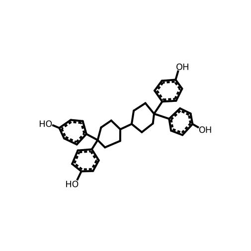 Oc1ccc(C2(c3ccc(O)cc3)CCC(C3CCC(c4ccc(O)cc4)(c4ccc(O)cc4)CC3)CC2)cc1